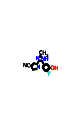 Cc1nc(-c2cc(C#N)ccn2)c(-c2ccc(F)c(O)c2)[nH]1